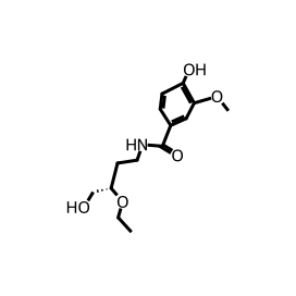 CCO[C@H](CO)CCNC(=O)c1ccc(O)c(OC)c1